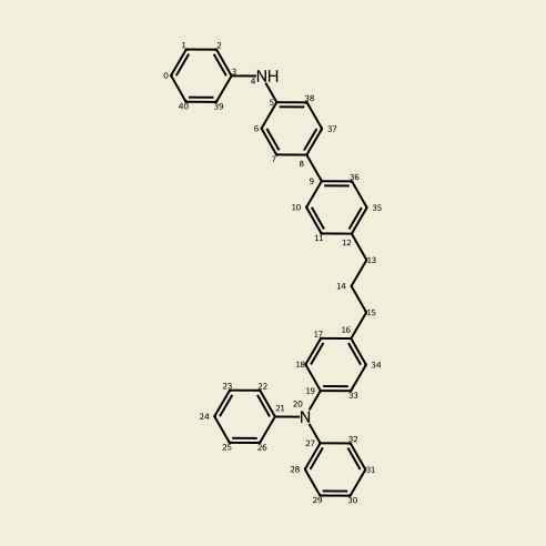 c1ccc(Nc2ccc(-c3ccc(CCCc4ccc(N(c5ccccc5)c5ccccc5)cc4)cc3)cc2)cc1